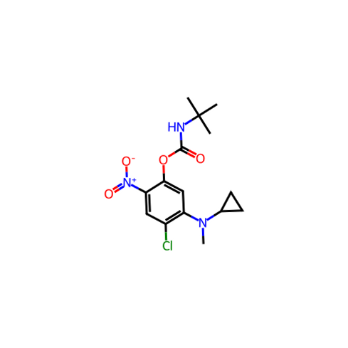 CN(c1cc(OC(=O)NC(C)(C)C)c([N+](=O)[O-])cc1Cl)C1CC1